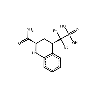 CCC(CC)([C@@H]1C[C@H](C(N)=O)Nc2ccccc21)P(=O)(O)O